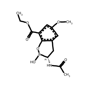 CCOC(=O)c1cc(OC)cc2c1OB(O)[C@@H](NC(C)=O)C2